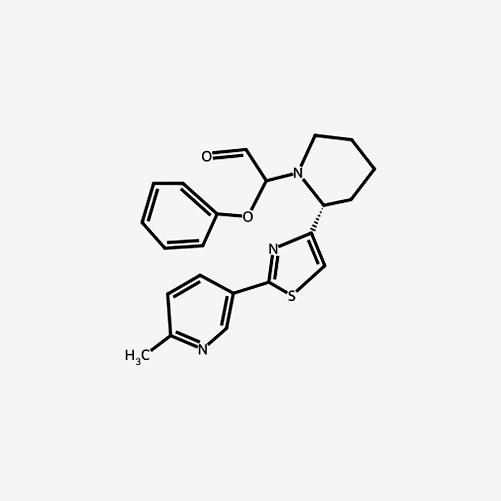 Cc1ccc(-c2nc([C@H]3CCCCN3C(C=O)Oc3ccccc3)cs2)cn1